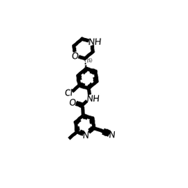 Cc1cc(C(=O)Nc2ccc([C@H]3CNCCO3)cc2Cl)cc(C#N)n1